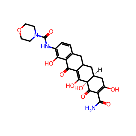 NC(=O)C1=C(O)C[C@@H]2CC3Cc4ccc(NC(=O)N5CCOCC5)c(O)c4C(=O)C3=C(O)[C@]2(O)C1=O